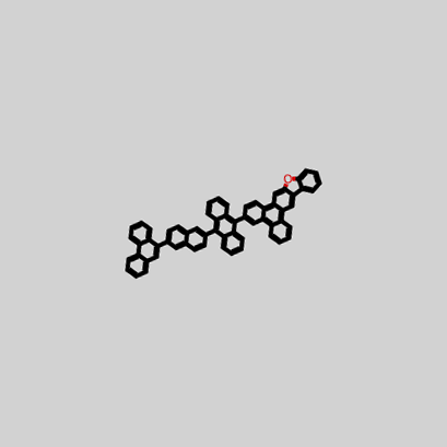 c1ccc2c(c1)cc(-c1ccc3cc(-c4c5ccccc5c(-c5ccc6c(c5)c5ccccc5c5cc7c(cc65)oc5ccccc57)c5ccccc45)ccc3c1)c1ccccc12